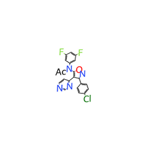 CC(=O)N(c1cc(F)cc(F)c1)c1onc(-c2ccc(Cl)cc2)c1-c1ccncn1